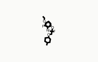 CCOc1ccc(OC(F)(F)COC2CCC(C)CC2)c(F)c1F